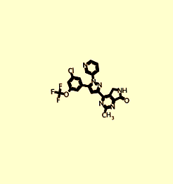 Cc1nc2c(c(-c3cc(-c4cc(Cl)cc(OC(F)(F)F)c4)n(-c4cccnc4)n3)n1)CNC2=O